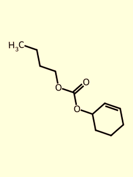 CCCCOC(=O)OC1C=CCCC1